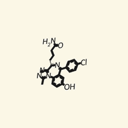 Cc1nnc2n1-c1ccc(O)cc1C(c1ccc(Cl)cc1)=N[C@H]2CCCC(N)=O